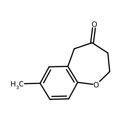 Cc1ccc2c(c1)CC(=O)CCO2